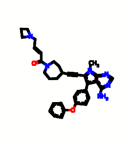 Cn1c(C#CC2CCCN(C(=O)/C=C/CN3CCC3)CC2)c(-c2ccc(Oc3ccccc3)cc2)c2c(N)ncnc21